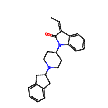 CC=C1C(=O)N(C2CCN(C3Cc4ccccc4C3)CC2)c2ccccc21